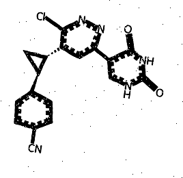 N#Cc1ccc([C@H]2C[C@@H]2c2cc(-c3c[nH]c(=O)[nH]c3=O)nnc2Cl)cc1